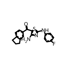 Nc1nc(Nc2ccc(F)cc2)sc1C(=O)c1ccc2c(c1)CCC2